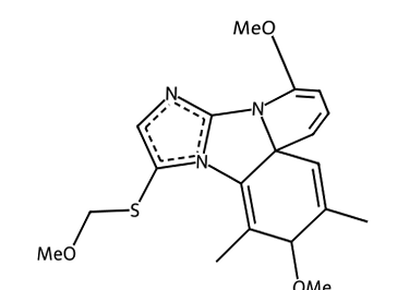 COCSc1cnc2n1C1=C(C)C(OC)C(C)=CC13C=CC=C(OC)N23